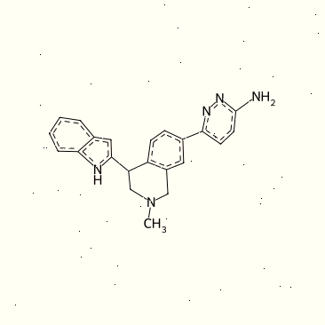 CN1Cc2cc(-c3ccc(N)nn3)ccc2C(c2cc3ccccc3[nH]2)C1